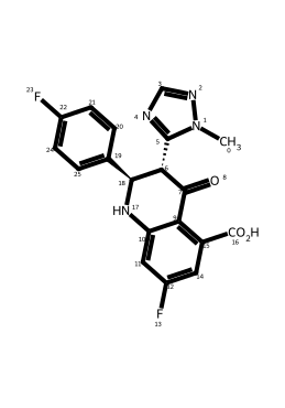 Cn1ncnc1[C@@H]1C(=O)c2c(cc(F)cc2C(=O)O)N[C@H]1c1ccc(F)cc1